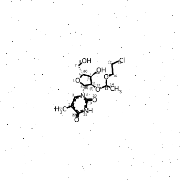 Cc1cn([C@@H]2O[C@H](CO)[C@@H](O)[C@H]2OC(C)OCCCl)c(=O)[nH]c1=O